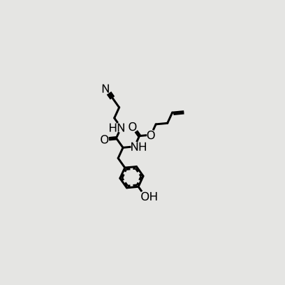 C=CCCOC(=O)NC(Cc1ccc(O)cc1)C(=O)NCCC#N